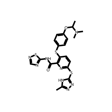 Cc1nnc(Sc2ccc(Sc3ccc(OC(C)N(C)C)cc3)c(C(=O)Nc3ncns3)n2)[nH]1